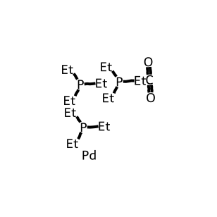 CCP(CC)CC.CCP(CC)CC.CCP(CC)CC.O=C=O.[Pd]